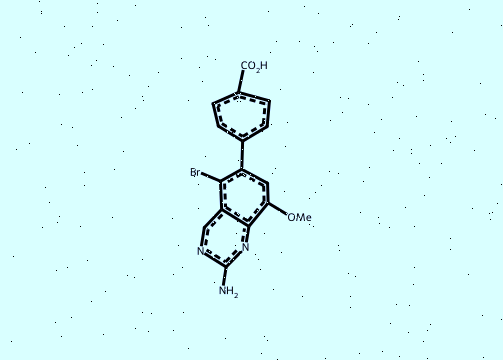 COc1cc(-c2ccc(C(=O)O)cc2)c(Br)c2cnc(N)nc12